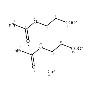 CCCC(=O)OCCC(=O)[O-].CCCC(=O)OCCC(=O)[O-].[Ca+2]